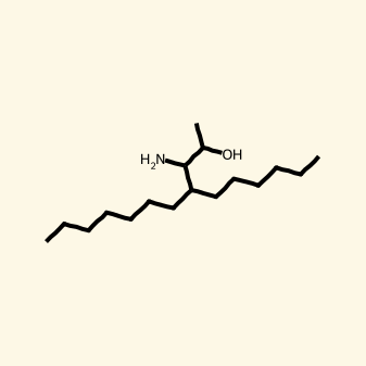 CCCCCCCC(CCCCCC)C(N)C(C)O